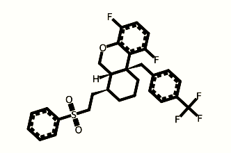 O=S(=O)(CC[C@@H]1CCC[C@@]2(Cc3ccc(C(F)(F)F)cc3)c3c(F)ccc(F)c3OC[C@@H]12)c1ccccc1